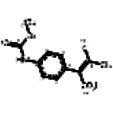 CC(C)(C)OC(=O)Nc1ccc(C(C(=O)O)=C(Cl)Cl)cc1